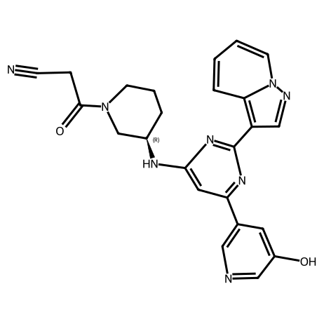 N#CCC(=O)N1CCC[C@@H](Nc2cc(-c3cncc(O)c3)nc(-c3cnn4ccccc34)n2)C1